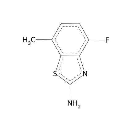 Cc1ccc(F)c2nc(N)sc12